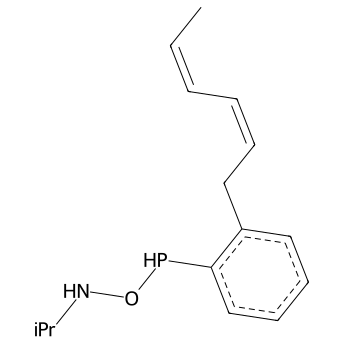 C/C=C\C=C/Cc1ccccc1PONC(C)C